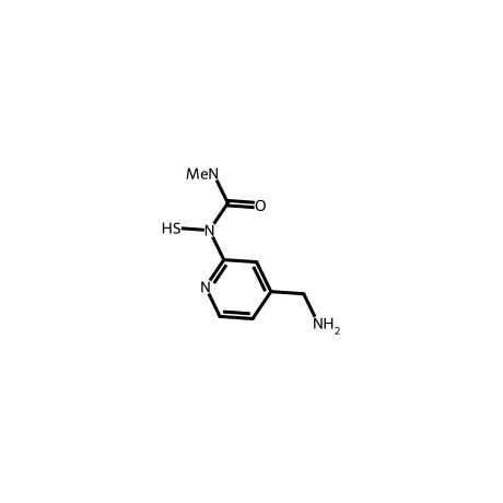 CNC(=O)N(S)c1cc(CN)ccn1